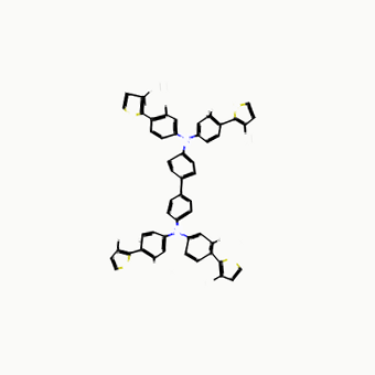 Cc1cc(N(c2ccc(-c3ccc(N(c4ccc(-c5sccc5C)c(C)c4)c4ccc(-c5sccc5C)c(C)c4)cc3)cc2)c2ccc(-c3sccc3C)c(C)c2)ccc1-c1sccc1C